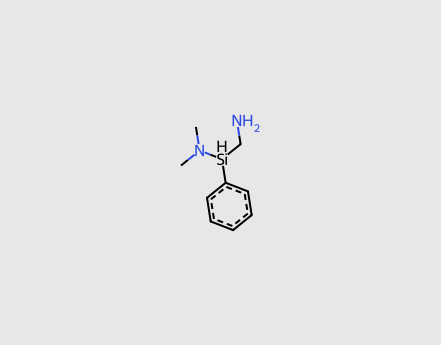 CN(C)[SiH](CN)c1ccccc1